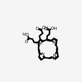 O=C(O)CCc1c(CCC(=O)O)c2[nH]c1cc1nc(cc3ccc(cc4nc(c2CCC(=O)O)C=C4)[nH]3)C=C1